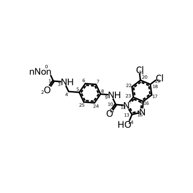 CCCCCCCCCC(=O)NCc1ccc(NC(=O)n2c(O)nc3cc(Cl)c(Cl)cc32)cc1